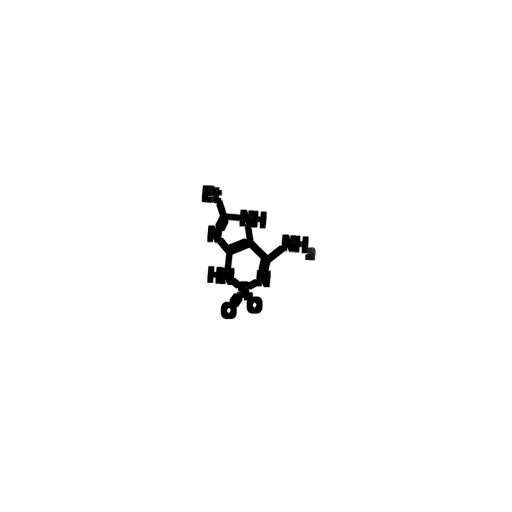 CCc1nc2c([nH]1)C(N)=NS(=O)(=O)N2